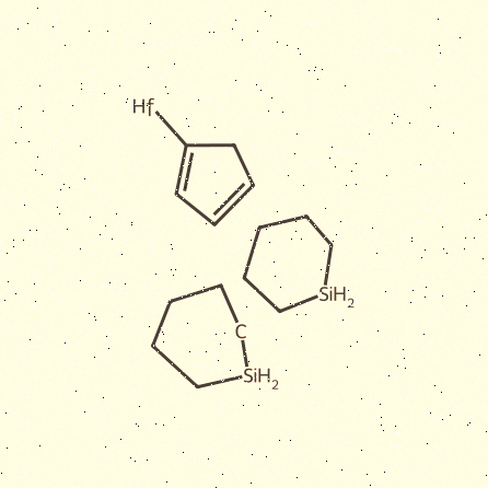 C1CC[SiH2]CC1.C1CC[SiH2]CC1.[Hf][C]1=CC=CC1